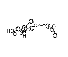 O=C(O)c1cccc(S(=O)(=O)N[C@@H](Cc2ccc(OCCCCC3CCN(C(=O)OCc4ccccc4)CC3)cc2)C(=O)OCc2ccccc2)c1